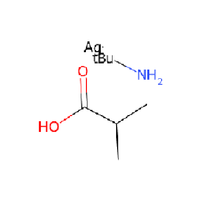 CC(C)(C)N.CC(C)C(=O)O.[Ag]